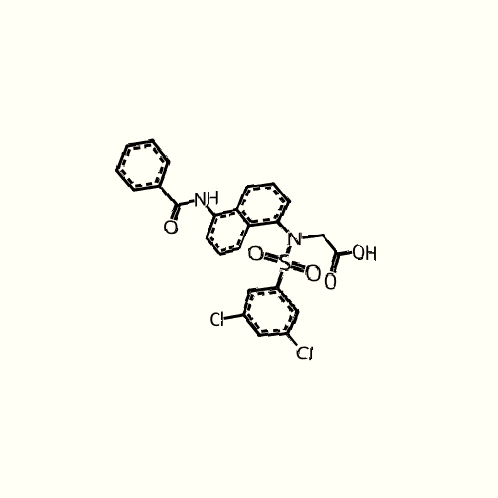 O=C(O)CN(c1cccc2c(NC(=O)c3ccccc3)cccc12)S(=O)(=O)c1cc(Cl)cc(Cl)c1